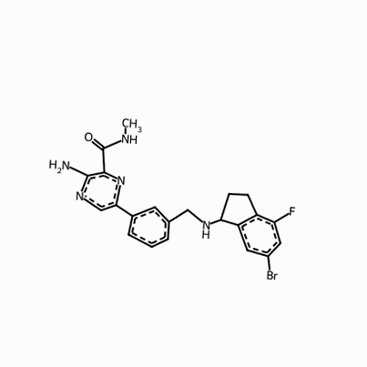 CNC(=O)c1nc(-c2cccc(CNC3CCc4c(F)cc(Br)cc43)c2)cnc1N